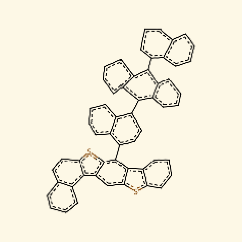 c1ccc2c(-c3c4ccccc4c(-c4ccc(-c5c6sc7ccc8ccccc8c7c6cc6sc7ccccc7c56)c5ccccc45)c4ccccc34)cccc2c1